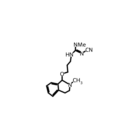 CNC(=NC#N)NCCCOC1c2ccccc2CCN1C